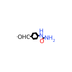 NC(=O)Nc1ccc([C]=O)cc1